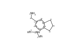 CCCNCCC.NCc1ccc2c(c1)CCC2